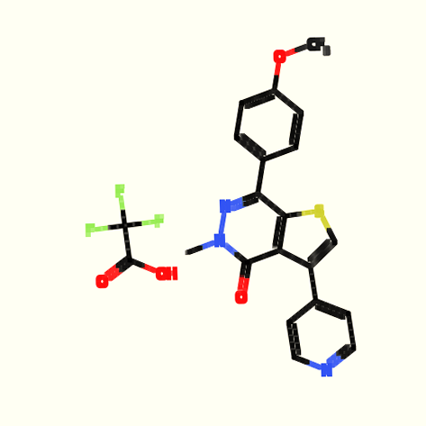 Cn1nc(-c2ccc(OC(F)(F)F)cc2)c2scc(-c3ccncc3)c2c1=O.O=C(O)C(F)(F)F